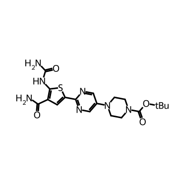 CC(C)(C)OC(=O)N1CCN(c2cnc(-c3cc(C(N)=O)c(NC(N)=O)s3)nc2)CC1